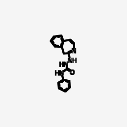 O=C(NNC1=NC=Cc2ccccc2C1)Nc1ccccc1